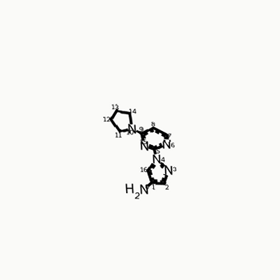 Nc1cnn(-c2nccc(N3CCCC3)n2)c1